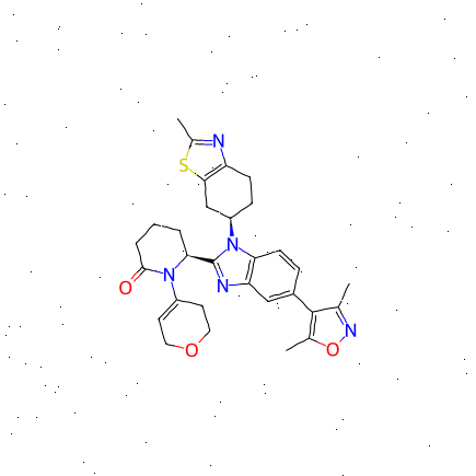 Cc1nc2c(s1)C[C@H](n1c([C@@H]3CCCC(=O)N3C3=CCOCC3)nc3cc(-c4c(C)noc4C)ccc31)CC2